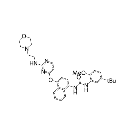 COc1ccc(C(C)(C)C)cc1NC(=O)Nc1ccc(Oc2ccnc(NCCN3CCOCC3)n2)c2ccccc12